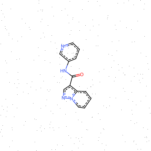 O=C(Nc1cccnc1)c1cnn2ccccc12